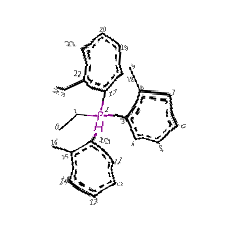 CC[PH](c1ccccc1C)(c1ccccc1C)c1ccccc1C